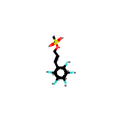 CS(=O)(=O)OC/C=C/c1c(F)c(F)c(F)c(F)c1F